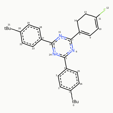 CC(C)(C)c1ccc(-c2nc(C3=CC=C(F)CC3)nc(-c3ccc(C(C)(C)C)cc3)n2)cc1